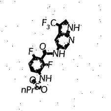 CCCS(=O)(=O)Nc1ccc(F)c(C(=O)Nc2cnc3[nH]cc(C(F)(F)F)c3c2)c1F